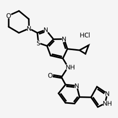 Cl.O=C(Nc1cc2sc(N3CCOCC3)nc2nc1C1CC1)c1cccc(-c2cn[nH]c2)n1